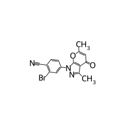 Cc1cc(=O)c2c(C)nn(-c3ccc(C#N)c(Br)c3)c2o1